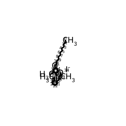 CCCCCCCCCCCCOc1ccc(CN(Cc2cccc[n+]2CC)C(C)=O)c(C)c1.[I-]